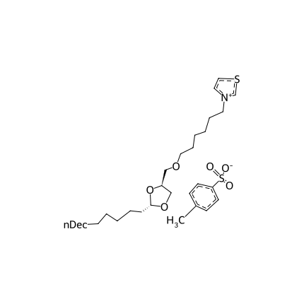 CCCCCCCCCCCCCCC[C@H]1OC[C@H](COCCCCCC[n+]2ccsc2)O1.Cc1ccc(S(=O)(=O)[O-])cc1